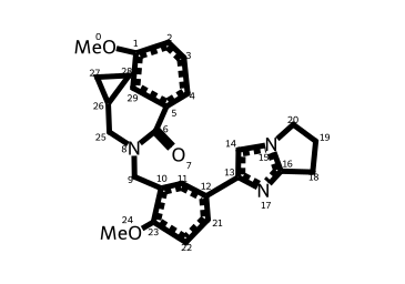 COc1cccc(C(=O)N(Cc2cc(-c3cn4c(n3)CCC4)ccc2OC)CC2CC2)c1